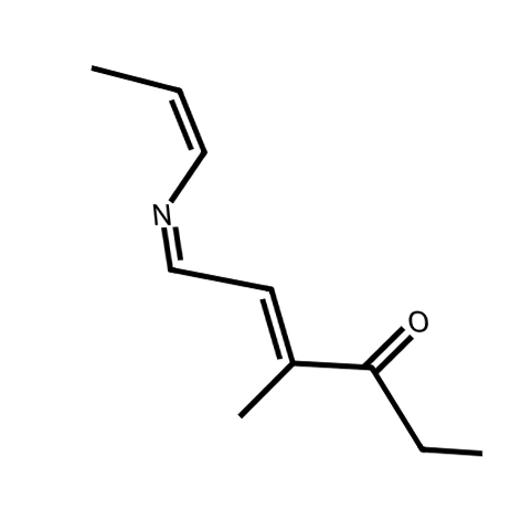 C\C=C/N=C\C=C(/C)C(=O)CC